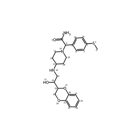 CSc1ccc(C(C(N)=O)N2CCC(NCC(O)C3COc4ccccc4O3)CC2)cc1